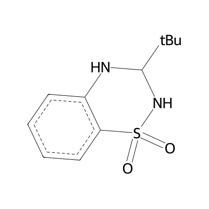 CC(C)(C)C1Nc2ccccc2S(=O)(=O)N1